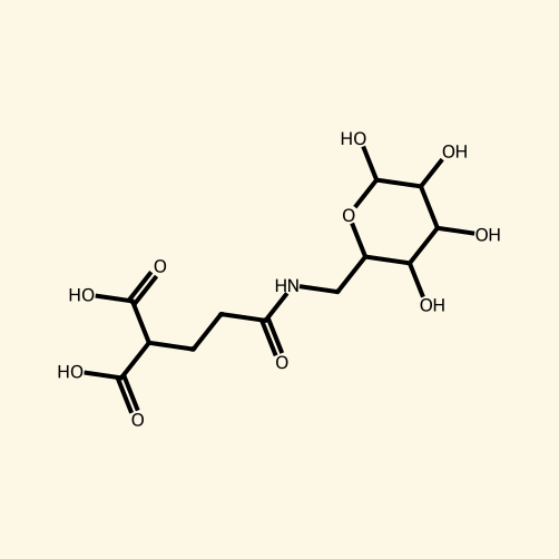 O=C(CCC(C(=O)O)C(=O)O)NCC1OC(O)C(O)C(O)C1O